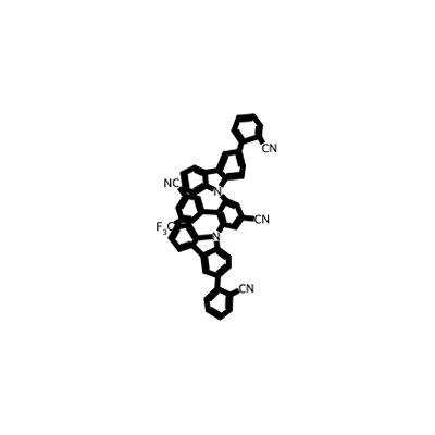 N#Cc1cc(-c2c(-n3c4ccccc4c4cc(-c5ccccc5C#N)ccc43)cc(C#N)cc2-n2c3ccccc3c3cc(-c4ccccc4C#N)ccc32)cc(C(F)(F)F)c1